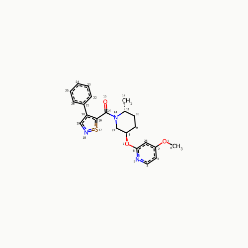 COc1ccnc(O[C@@H]2CC[C@@H](C)N(C(=O)c3sncc3-c3ccccc3)C2)c1